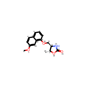 COc1ccc2cccc(OC[C@H]3NC(=O)O[C@@H]3C)c2c1